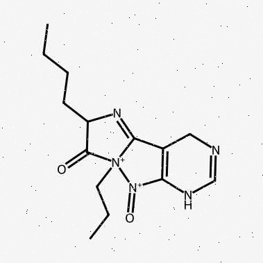 CCCCC1N=C2C3=C(NC=NC3)[N+](=O)[N+]2(CCC)C1=O